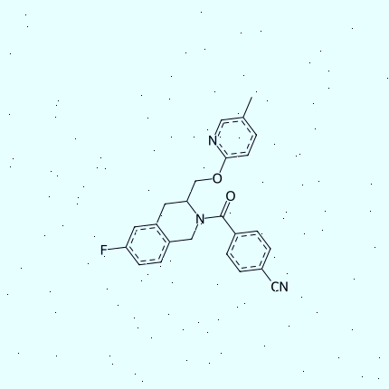 Cc1ccc(OCC2Cc3cc(F)ccc3CN2C(=O)c2ccc(C#N)cc2)nc1